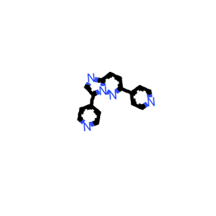 c1cc(-c2ccc3ncc(-c4ccncc4)n3n2)ccn1